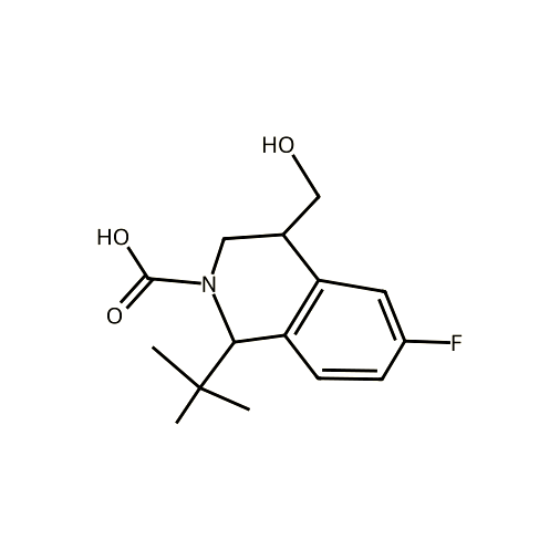 CC(C)(C)C1c2ccc(F)cc2C(CO)CN1C(=O)O